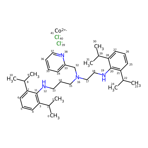 CC(C)c1cccc(C(C)C)c1NCCCN(CCNc1c(C(C)C)cccc1C(C)C)Cc1ccccn1.[Cl-].[Cl-].[Co+2]